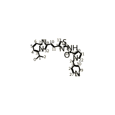 CC(C)c1cccc2nc(C=Cc3csc(NC(=O)c4cccn4Cc4ccncc4)n3)cn12